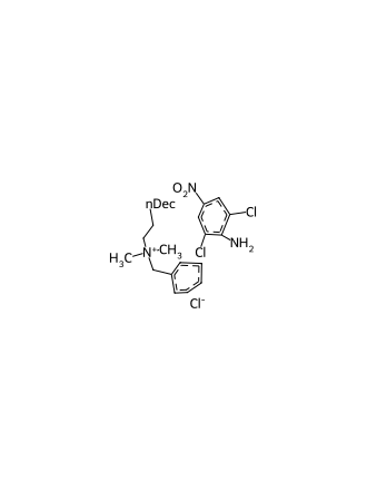 CCCCCCCCCCCC[N+](C)(C)Cc1ccccc1.Nc1c(Cl)cc([N+](=O)[O-])cc1Cl.[Cl-]